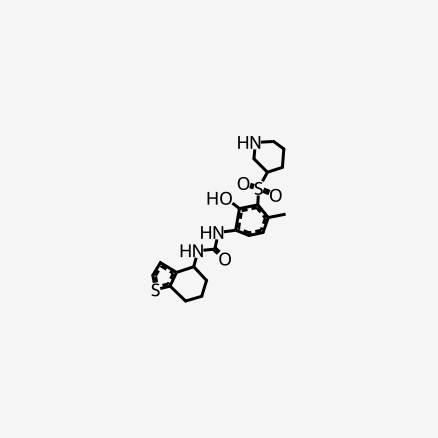 Cc1ccc(NC(=O)NC2CCCc3sccc32)c(O)c1S(=O)(=O)C1CCCNC1